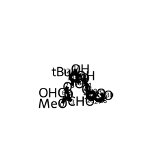 COCC(C=O)OC(C=O)OCC1CC(C(C)(C)C)C(O)C(O)C1OC(=O)COc1ccc2ccc(=O)oc2c1